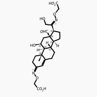 C[C@]12CC/C(=N/OCC(=O)O)C=C1CC[C@@H]1[C@@H]2[C@@H](O)C[C@]2(C=O)[C@@H](/C(CO)=N/OCC(=O)O)CC[C@@H]12